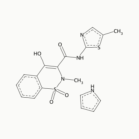 Cc1cnc(NC(=O)C2=C(O)c3ccccc3S(=O)(=O)N2C)s1.c1cc[nH]c1